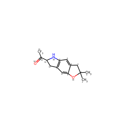 CC1(C)Cc2cc3c(cc2O1)CC(C(=O)C(F)(F)F)N3